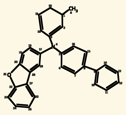 CC1C=C(N(c2ccc(-c3ccccc3)cc2)c2ccc3oc4ccccc4c3c2)C=CC1